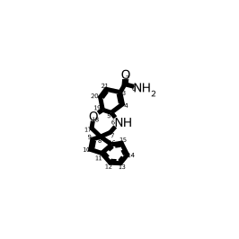 NC(=O)C1=CC2NCC3(C=Cc4ccccc43)COC2C=C1